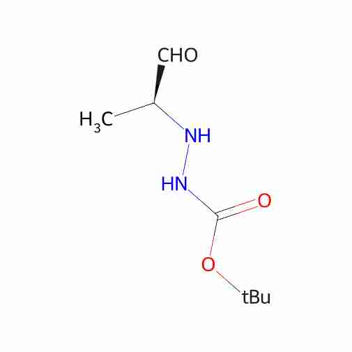 C[C@@H](C=O)NNC(=O)OC(C)(C)C